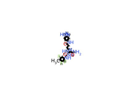 Cc1c(F)cc(NC(=O)Nc2[nH]c(CCC(=O)Nc3ccc4[nH]nnc4c3)nc2C(N)=O)c(F)c1F